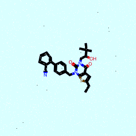 CCc1cc2c(=O)n(CC(O)C(C)(C)C)c(=O)n(Cc3ccc(-c4ccccc4C#N)cc3)c2s1